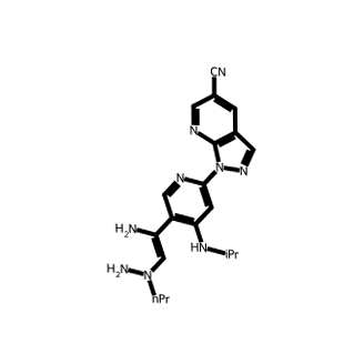 CCCN(N)/C=C(\N)c1cnc(-n2ncc3cc(C#N)cnc32)cc1NC(C)C